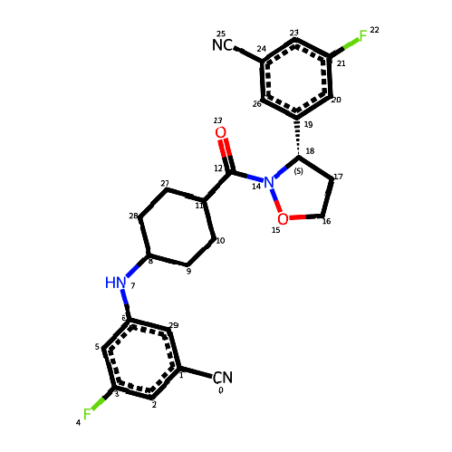 N#Cc1cc(F)cc(NC2CCC(C(=O)N3OCC[C@H]3c3cc(F)cc(C#N)c3)CC2)c1